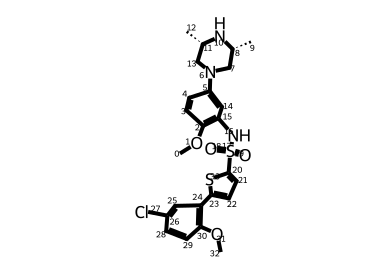 COc1ccc(N2C[C@@H](C)N[C@@H](C)C2)cc1NS(=O)(=O)c1ccc(-c2cc(Cl)ccc2OC)s1